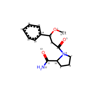 CCOC(CC(=O)N1CCCC1C(N)=O)c1ccccc1